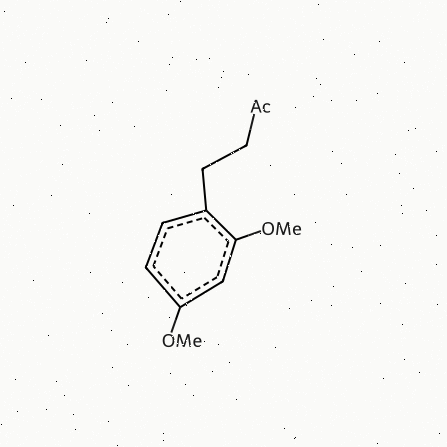 COc1ccc(CCC(C)=O)c(OC)c1